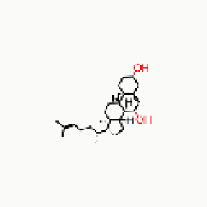 CC(C)=CCC[C@@H](C)[C@H]1CC[C@H]2[C@@H]3[C@@H](O)C=C4C[C@H](O)CC[C@]4(C)[C@H]3CC[C@]12C